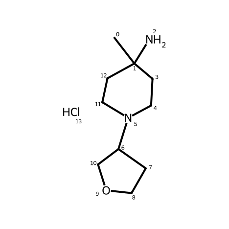 CC1(N)CCN(C2CCOC2)CC1.Cl